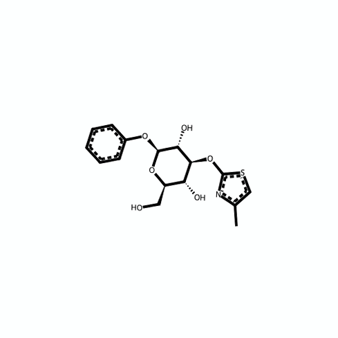 Cc1csc(O[C@@H]2[C@@H](O)[C@H](Oc3ccccc3)O[C@H](CO)[C@H]2O)n1